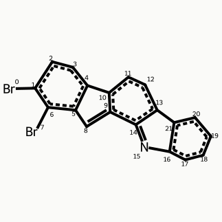 Brc1ccc2c(c1Br)C=c1c-2ccc2c1=Nc1ccccc1-2